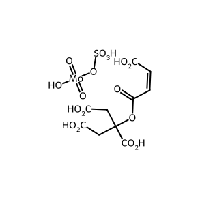 O=C(O)/C=C\C(=O)OC(CC(=O)O)(CC(=O)O)C(=O)O.O=S(=O)(O)[O][Mo](=[O])(=[O])[OH]